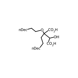 CCCCCCCCCCCCOC(CCCCCCCCCCCC)(C(=O)O)C(O)C(=O)O